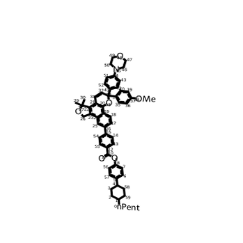 CCCCCC1CCC(c2ccc(OC(=O)c3ccc(-c4ccc5c6c(c7c(c5c4)COC7(C)C)C=CC(c4ccc(OC)cc4)(c4ccc(N5CCOCC5)cc4)O6)cc3)cc2)CC1